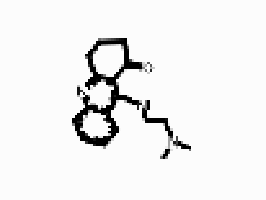 CN(C)CCNc1c2c(nc3ccccc13)CCCC2=O